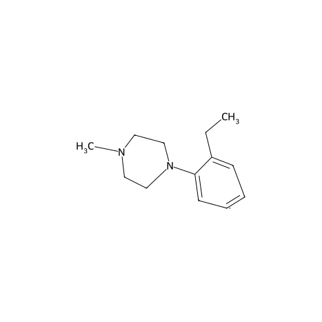 CCc1cc[c]cc1N1CCN(C)CC1